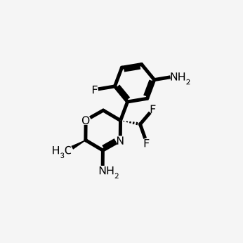 C[C@H]1OC[C@](c2cc(N)ccc2F)(C(F)F)N=C1N